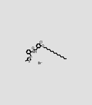 CCCCCCCCCCCCCCOc1cc(CC(=O)Nc2ccccc2C[n+]2csc(C)c2)ccc1Cl.[Br-]